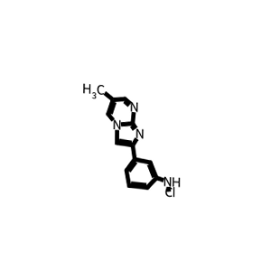 Cc1cnc2nc(-c3cccc(NCl)c3)cn2c1